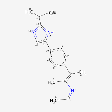 C/C=N\C(C)=C(/C)c1ccc(-c2cnc(C(C)CCCC)[nH]2)cc1